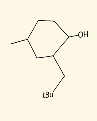 CC1CCC(O)C(CC(C)(C)C)C1